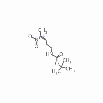 C/C(=C/CCNC(=O)OC(C)(C)C)[N+](=O)[O-]